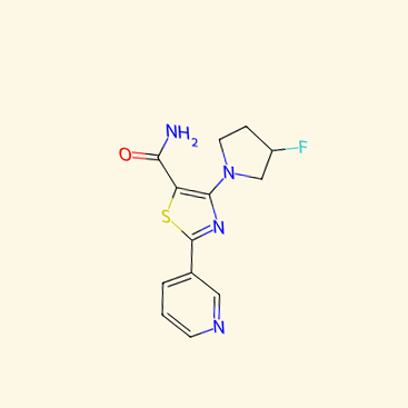 NC(=O)c1sc(-c2cccnc2)nc1N1CCC(F)C1